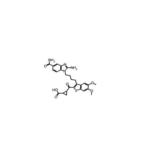 COc1cc2sc(C(=O)C3CC3C(=O)O)c(CCCCn3c(N)nc4cc(C(N)=O)ccc43)c2cc1OC